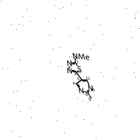 CNc1nnc(-c2cnc(C)nc2)s1